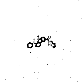 O=C(NCc1cccs1)c1ccc2[nH]c3c(c2c1)CCCC3NC1CCCCC1